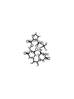 CC(C(C)N1CC(=O)N(COC(=O)C2SCCN2C(=O)OC(C)(C)C)C(=O)C1)N1CC(=O)NC(=O)C1